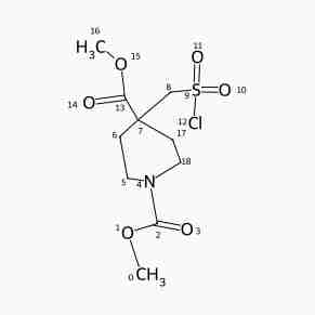 COC(=O)N1CCC(CS(=O)(=O)Cl)(C(=O)OC)CC1